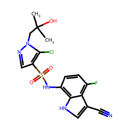 CC(C)(O)Cn1ncc(S(=O)(=O)Nc2ccc(F)c3c(C#N)c[nH]c23)c1Cl